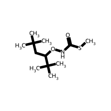 CSC(=O)NOC(CC(C)(C)C)C(C)(C)C